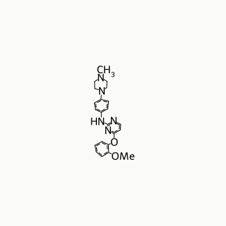 COc1ccccc1Oc1ccnc(Nc2ccc(N3CCN(C)CC3)cc2)n1